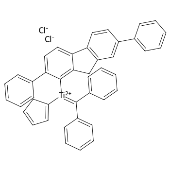 C1=CC[C]([Ti+2](=[C](c2ccccc2)c2ccccc2)[c]2c(-c3ccccc3)ccc3c2Cc2cc(-c4ccccc4)ccc2-3)=C1.[Cl-].[Cl-]